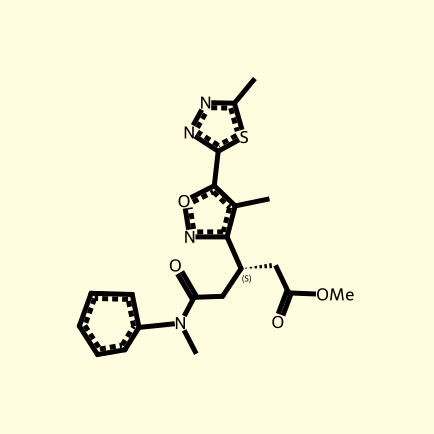 COC(=O)C[C@H](CC(=O)N(C)c1ccccc1)c1noc(-c2nnc(C)s2)c1C